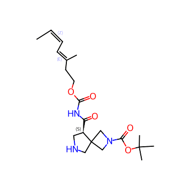 C/C=C\C=C(/C)CCOC(=O)NC(=O)[C@@H]1CNCC12CN(C(=O)OC(C)(C)C)C2